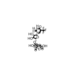 C=C1NC(=O)C(C(F)(F)F)=CN1[C@@H]1O[C@H](COP(=O)(O)OP(=O)(O)OP(=O)(O)O)C(O)[C@@H]1O